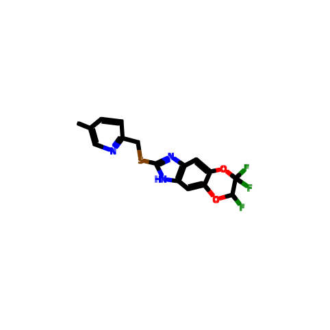 Cc1ccc(CSc2nc3cc4c(cc3[nH]2)OC(F)C(F)(F)O4)nc1